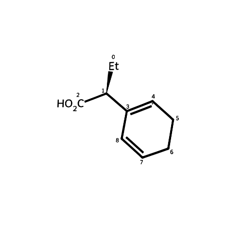 CC[C@H](C(=O)O)C1=[C]CCC=C1